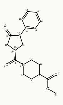 COC(=O)C1CCN(C(=O)[C@H]2CC(=O)N(c3ccccc3)C2)CC1